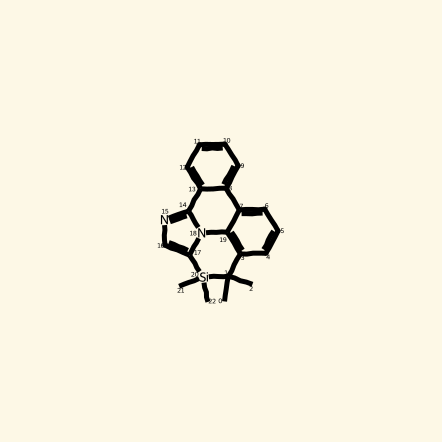 CC1(C)c2cccc3c4ccccc4c4ncc(n4c23)[Si]1(C)C